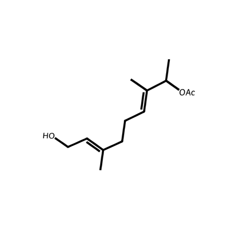 CC(=O)OC(C)C(C)=CCCC(C)=CCO